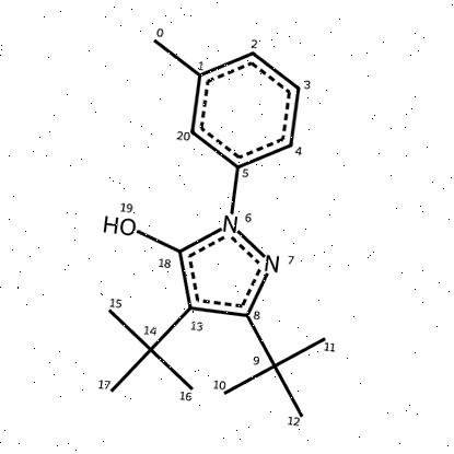 Cc1cccc(-n2nc(C(C)(C)C)c(C(C)(C)C)c2O)c1